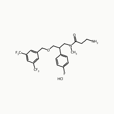 CN(CC(COCc1cc(C(F)(F)F)cc(C(F)(F)F)c1)c1ccc(F)cc1)C(=O)CCN.Cl